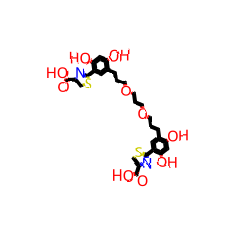 O=C(O)C1CSC(c2cc(CCCOCCCOCCCc3cc(C4=NC(C(=O)O)CS4)c(O)cc3O)c(O)cc2O)=N1